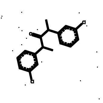 CC(C(=O)C(C)c1cccc(Cl)c1)c1cccc(Cl)c1